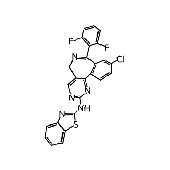 Fc1cccc(F)c1C1=NCc2cnc(Nc3nc4ccccc4s3)nc2-c2ccc(Cl)cc21